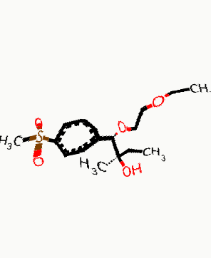 CCOCCO[C@@H](c1ccc(S(C)(=O)=O)cc1)[C@](C)(O)CC